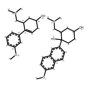 COc1ccc2cc(C3(O)CCC(O)CC3CN(C)C)ccc2c1.COc1cccc(C2=CCC(O)CC2CN(C)C)c1